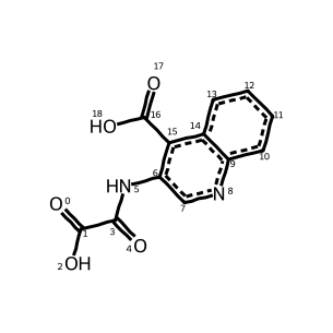 O=C(O)C(=O)Nc1cnc2ccccc2c1C(=O)O